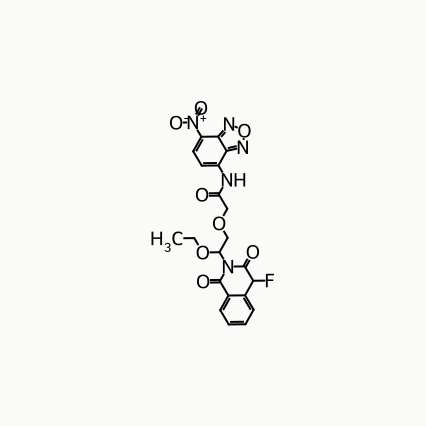 CCOC(COCC(=O)Nc1ccc([N+](=O)[O-])c2nonc12)N1C(=O)c2ccccc2C(F)C1=O